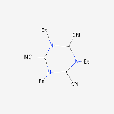 CCN1C(C#N)N(CC)C(C#N)N(CC)C1C#N